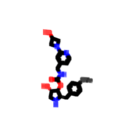 COc1ccc(C[C@H]2NC[C@H](O)[C@H]2OC(=O)NCc2ccnc(N3CC(O)C3)c2)cc1